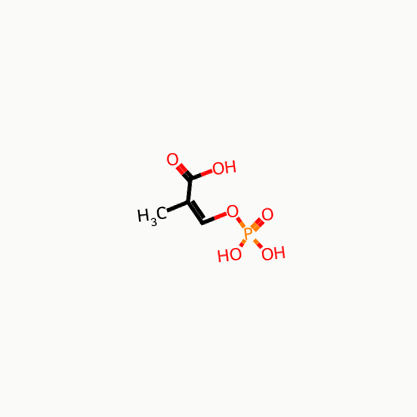 CC(=COP(=O)(O)O)C(=O)O